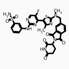 Cc1nc(N(C)Cc2ccc3c(c2)C(=O)N(C2CCC(=O)NC2=O)C3=O)sc1-c1nc(Nc2cccc(S(N)(=O)=O)c2)ncc1F